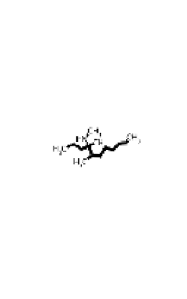 CCCCCCC(C)C(C)(CCC)NC